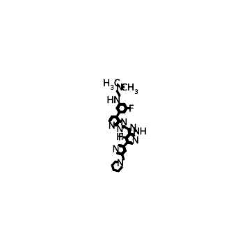 CN(C)CCNc1cc(F)cc(-c2ccnc3[nH]c(-c4n[nH]c5ncc(-c6cncc(CN7CCCCC7)c6)c(F)c45)nc23)c1